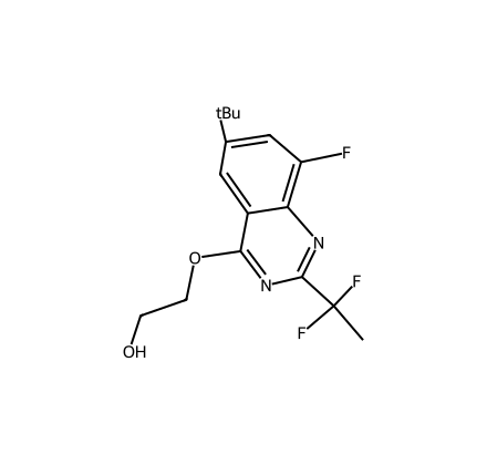 CC(C)(C)c1cc(F)c2nc(C(C)(F)F)nc(OCCO)c2c1